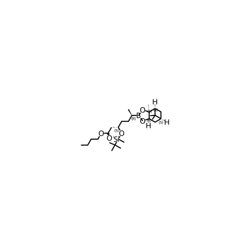 CCCCOC(=O)C[C@H](CC[C@@H](C)B1O[C@@H]2C[C@@H]3C[C@@H](C3(C)C)[C@]2(C)O1)O[Si](C)(C)C(C)(C)C